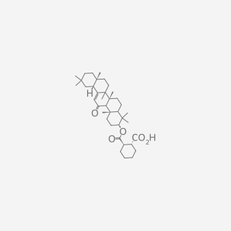 CC1(C)CC[C@]2(C)CCC3(C)C(=CC(=O)C4[C@@]5(C)CC[C@H](OC(=O)[C@@H]6CCCC[C@H]6C(=O)O)C(C)(C)C5CC[C@]43C)[C@@H]2C1